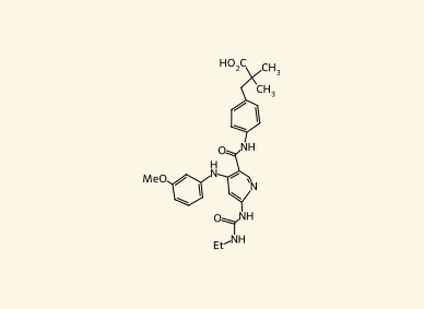 CCNC(=O)Nc1cc(Nc2cccc(OC)c2)c(C(=O)Nc2ccc(CC(C)(C)C(=O)O)cc2)cn1